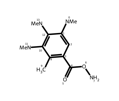 CNc1cc(C(=O)ON)c(C)c(NC)c1NC